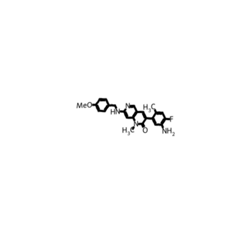 COc1ccc(CNc2cc3c(cn2)cc(-c2cc(N)c(F)cc2C)c(=O)n3C)cc1